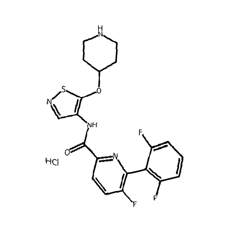 Cl.O=C(Nc1cnsc1OC1CCNCC1)c1ccc(F)c(-c2c(F)cccc2F)n1